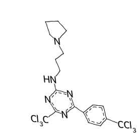 ClC(Cl)(Cl)c1ccc(-c2nc(NCCCN3CCCC3)nc(C(Cl)(Cl)Cl)n2)cc1